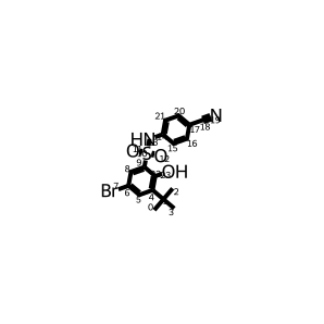 CC(C)(C)c1cc(Br)cc(S(=O)(=O)Nc2ccc(C#N)cc2)c1O